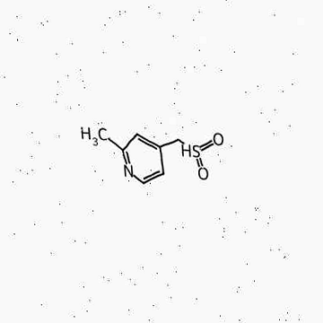 Cc1cc(C[SH](=O)=O)ccn1